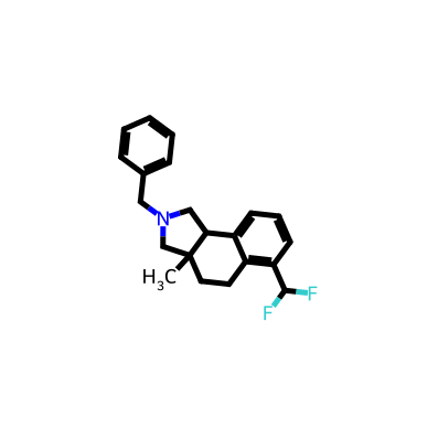 CC12CCc3c(C(F)F)cccc3C1CN(Cc1ccccc1)C2